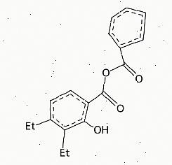 CCc1ccc(C(=O)OC(=O)c2ccccc2)c(O)c1CC